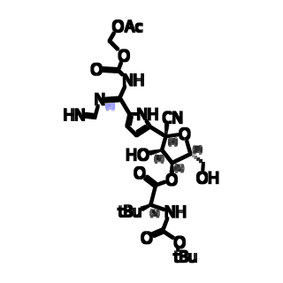 CC(=O)OCOC(=O)N/C(=N/C=N)c1ccc([C@]2(C#N)O[C@H](CO)[C@@H](OC(=O)[C@@H](NC(=O)OC(C)(C)C)C(C)(C)C)[C@H]2O)[nH]1